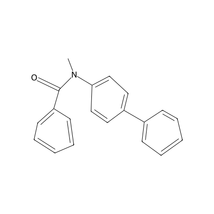 CN(C(=O)c1ccccc1)c1ccc(-c2ccccc2)cc1